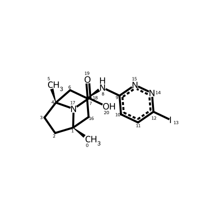 C[C@]12CC[C@](C)(C[C@@H](Nc3ccc(I)nn3)C1)N2C(=O)O